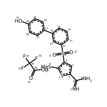 CSc1sc(C(=N)N)cc1S(=O)(=O)c1cccc(-c2ccc(O)cc2)c1.O=C(O)C(F)(F)F